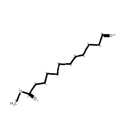 COC(=O)CCCCCCCCCC[C]=O